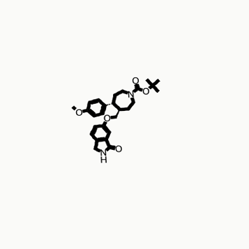 COc1ccc([C@@H]2CCN(C(=O)OC(C)(C)C)CC[C@H]2COc2ccc3c(c2)C(=O)NC3)cc1